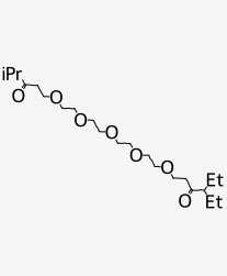 CCC(CC)C(=O)CCOCCOCCOCCOCCOCCC(=O)C(C)C